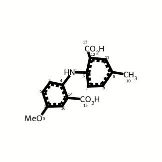 COc1ccc(Nc2ccc(C)cc2C(=O)O)c(C(=O)O)c1